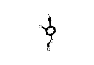 N#Cc1ccc(OC=O)cc1Cl